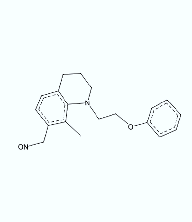 Cc1c(CN=O)ccc2c1N(CCOc1ccccc1)CCC2